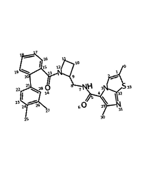 Cc1cn2c(C(=O)NCC3CCN3C(=O)c3ccccc3-c3ccc(C)c(C)c3)c(C)nc2s1